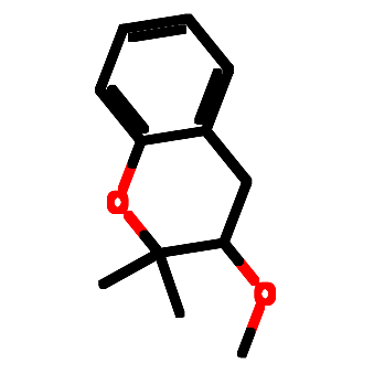 COC1Cc2ccccc2OC1(C)C